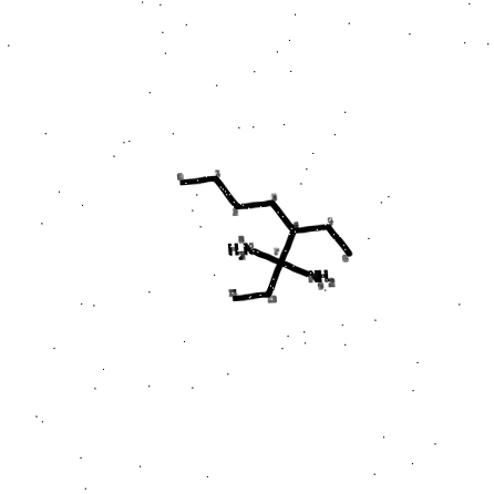 CCCCC(CC)C(N)(N)CC